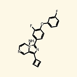 N[N+]12C=CN=CC1=C(C1=CC=C1)N=C2c1ccc(Oc2cccc(F)c2)c(F)c1